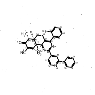 C[C@H]1C(=O)C(C#N)=C[C@@]2(C)c3nc(-c4ccnc(-c5ccccc5)c4)nc(-c4ccccc4F)c3CC[C@H]12